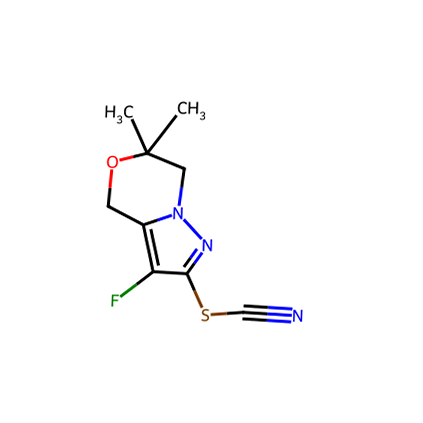 CC1(C)Cn2nc(SC#N)c(F)c2CO1